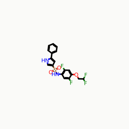 O=S(=O)(Nc1cc(F)c(OCC(F)F)cc1F)c1c[nH]c(-c2ccccc2)c1